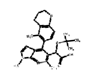 Cc1nc2c(ccn2C)c(-c2ccc3c(c2C)CCCO3)c1C(OC(C)(C)C)C(=O)O